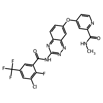 CNC(=O)c1cc(Oc2ccc3nc(NC(=O)c4cc(C(F)(F)F)cc(Cl)c4F)nnc3c2)ccn1